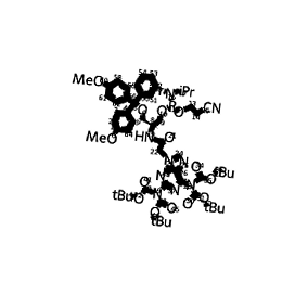 COc1ccc(C(OC[C@@H](COP(OCCC#N)N(C(C)C)C(C)C)NC(=O)Cn2cnc3c(N(C(=O)OC(C)(C)C)C(=O)OC(C)(C)C)nc(N(C(=O)OC(C)(C)C)C(=O)OC(C)(C)C)nc32)(c2ccccc2)c2ccc(OC)cc2)cc1